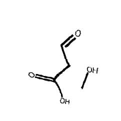 CO.O=CCC(=O)O